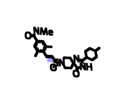 CNC(=O)c1cc(C)c(/C=C/[S@+]([O-])N2CCC3(CC2)N=C(C2CCC(C)CC2)NC3=O)c(C)c1